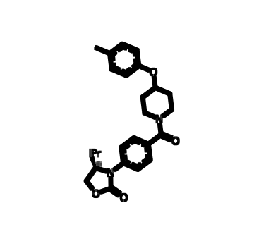 Cc1ccc(OC2CCN(C(=O)c3ccc(N4C(=O)OC[C@H]4C(C)C)cc3)CC2)cc1